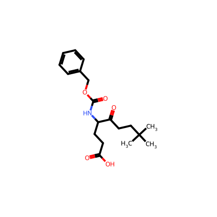 CC(C)(C)CCC(=O)C(CCC(=O)O)NC(=O)OCc1ccccc1